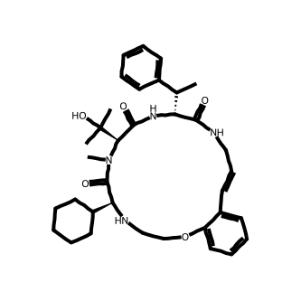 CC(c1ccccc1)[C@H]1NC(=O)[C@H](C(C)(C)O)N(C)C(=O)[C@H](C2CCCCC2)NCCOc2ccccc2/C=C/CNC1=O